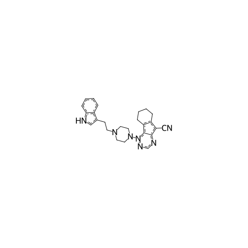 N#Cc1c2ncnn(N3CCN(CCc4c[nH]c5ccccc45)CC3)c-2c2c1CCCC2